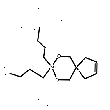 CCC[CH2][Sn]1([CH2]CCC)[O]CC2(CC=CC2)C[O]1